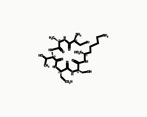 CC(C)C[C@H](N)C(=O)N[C@@H](C)C(=O)N[C@H](C(=O)N[C@@H](CC(=O)O)C(=O)N[C@@H](CO)C(=O)N[C@@H](CCCCN)C(=O)O)C(C)O